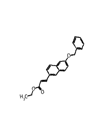 CCOC(=O)C=Cc1ccc2cc(OCc3ccccc3)ccc2c1